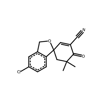 CC1(C)CC2(C=C(C#N)C1=O)OCc1cc(Cl)ccc12